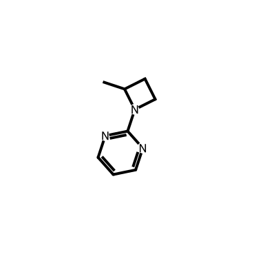 CC1CCN1c1ncccn1